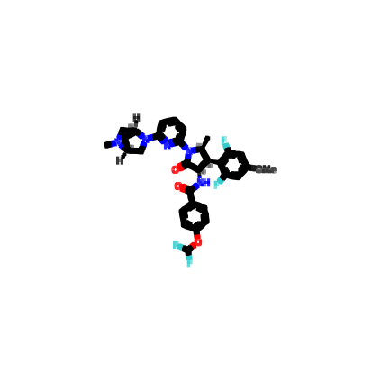 COc1cc(F)c([C@H]2[C@H](NC(=O)c3ccc(OC(F)F)cc3)C(=O)N(c3cccc(N4C[C@@H]5C[C@H]4CN5C)n3)[C@H]2C)c(F)c1